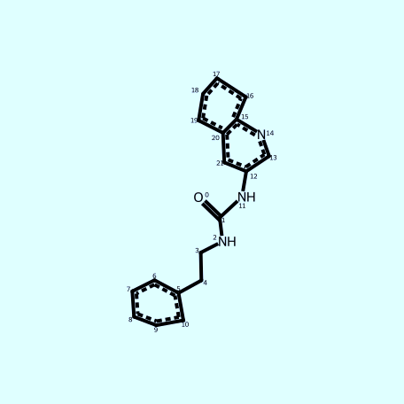 O=C(NCCc1ccccc1)Nc1cnc2ccccc2c1